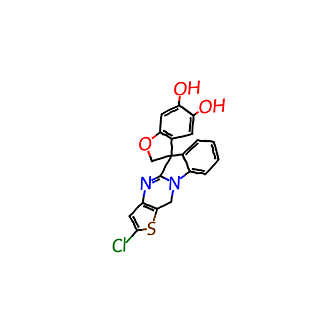 Oc1cc2c(cc1O)C1(CO2)C2=Nc3cc(Cl)sc3CN2c2ccccc21